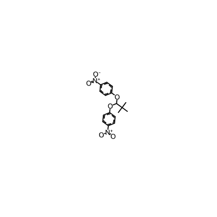 CC(C)(C)C(Oc1ccc([N+](=O)[O-])cc1)Oc1ccc([N+](=O)[O-])cc1